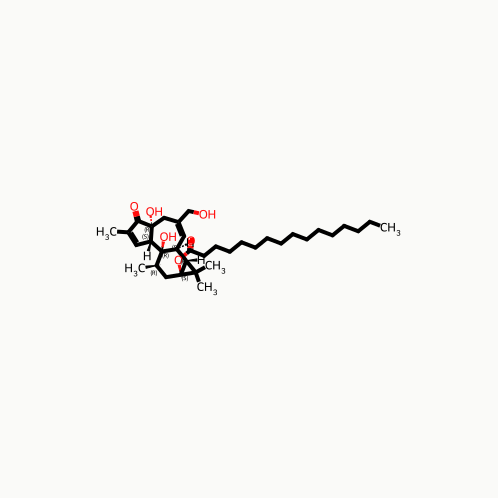 CCCCCCCCCCCCCCCC(=O)O[C@@]12C[C@@H](C)[C@@]3(O)[C@@H](C=C(CO)C[C@]4(O)C(=O)C(C)=C[C@@H]34)[C@@H]1C2(C)C